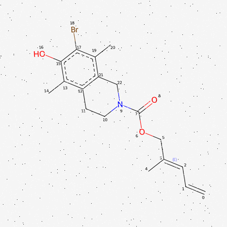 C=C/C=C(\C)COC(=O)N1CCc2c(C)c(O)c(Br)c(C)c2C1